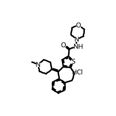 CN1CCC(=C2c3ccccc3CCc3sc(C(=O)NN4CCOCC4)cc32)CC1.Cl